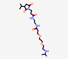 CC(C)NCCOCCOCCC(=O)NCCNC(=O)CCN1C(=O)CC(C(C)C)C1=O